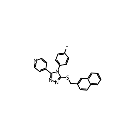 Fc1ccc(-n2c(SCc3ccc4ccccc4c3)nnc2-c2ccncc2)cc1